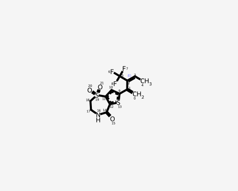 C=C(/C(=C\C)C(F)(F)F)c1cc2c(s1)C(=O)NCCS2(=O)=O